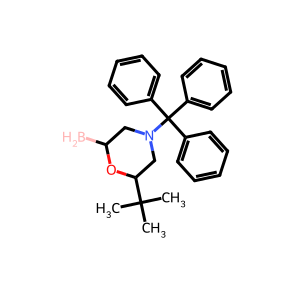 BC1CN(C(c2ccccc2)(c2ccccc2)c2ccccc2)CC(C(C)(C)C)O1